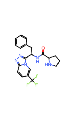 O=C(N[C@H](Cc1ccccc1)c1nnc2ccc(C(F)(F)F)cn12)C1CCCN1